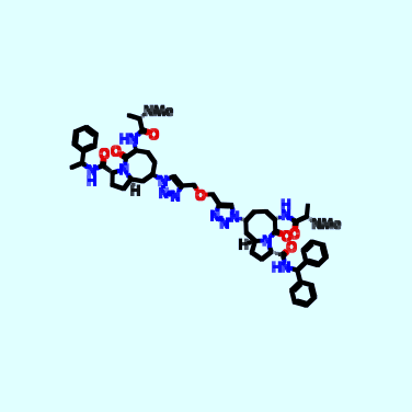 CN[C@@H](C)C(=O)N[C@H]1CC[C@@H](n2cc(COCc3cn([C@@H]4CC[C@H](NC(=O)[C@H](C)NC)C(=O)N5[C@H](CC[C@H]5C(=O)NC(c5ccccc5)c5ccccc5)C4)nn3)nn2)C[C@H]2CC[C@@H](C(=O)NC(C)c3ccccc3)N2C1=O